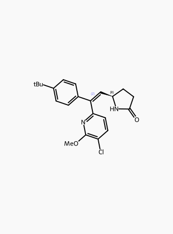 COc1nc(/C(=C\[C@H]2CCC(=O)N2)c2ccc(C(C)(C)C)cc2)ccc1Cl